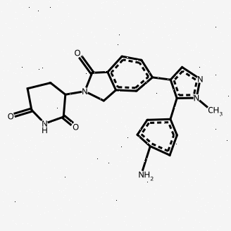 Cn1ncc(-c2ccc3c(c2)CN(C2CCC(=O)NC2=O)C3=O)c1-c1ccc(N)cc1